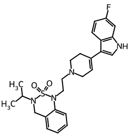 CC(C)N1Cc2ccccc2N(CCN2CC=C(c3c[nH]c4cc(F)ccc34)CC2)S1(=O)=O